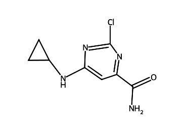 NC(=O)c1cc(NC2CC2)nc(Cl)n1